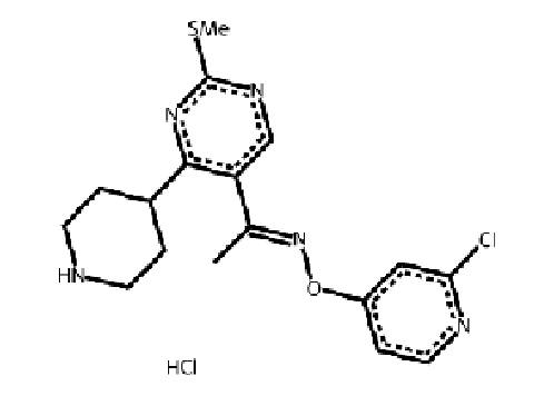 CSc1ncc(C(C)=NOc2ccnc(Cl)c2)c(C2CCNCC2)n1.Cl